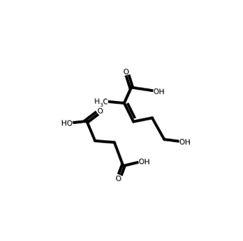 CC(=CCCO)C(=O)O.O=C(O)CCC(=O)O